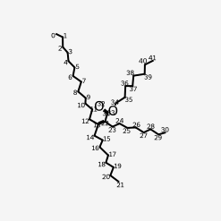 CCCCCCCCCCCCCC(CCCCCCCC)=C(CCCCCCCC)C(=O)OCCCCCCCC